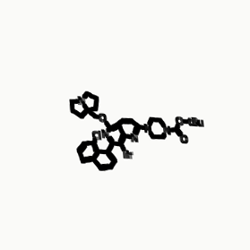 CC(C)(C)OC(=O)N1CCN(c2ccc3c(OCC45CCCN4CCC5)nc(-c4cccc5cccc(Cl)c45)c(Br)c3n2)CC1